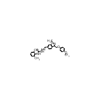 Cc1cccc(C)c1NC(=O)NS/N=C/c1ccc2c(COc3ccc(OC(F)(F)F)cc3)nn(C)c2c1